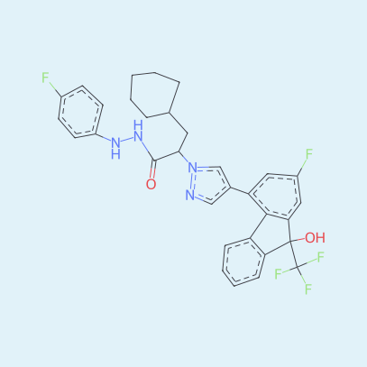 O=C(NNc1ccc(F)cc1)C(CC1CCCCC1)n1cc(-c2cc(F)cc3c2-c2ccccc2C3(O)C(F)(F)F)cn1